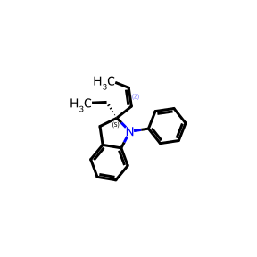 C/C=C\[C@]1(CC)Cc2ccccc2N1c1ccccc1